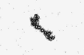 COC(=O)N[C@H](C(=O)N1C[C@@H](C)CC1c1ncc(-c2ccc(-c3ccc4nc(-c5cnc([C@@H]6C[C@H](C)CN6C(=O)[C@@H](NC(=O)OC)C(C)C)[nH]5)ccc4c3)cc2)[nH]1)C(C)C